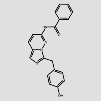 O=C(Nc1ccc2nnc(Cc3ccc(O)cc3)n2n1)c1ccccc1